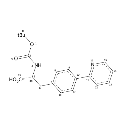 CC(C)(C)OC(=O)N[C@H](Cc1ccc(-c2ccccn2)cc1)C(=O)O